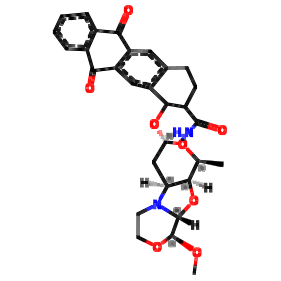 CO[C@H]1OCCN2[C@@H]1O[C@@H]1[C@H](C)O[C@@H](OC3c4cc5c(cc4CCC3C(N)=O)C(=O)c3ccccc3C5=O)C[C@@H]12